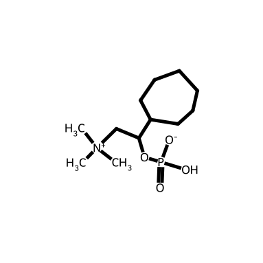 C[N+](C)(C)CC(OP(=O)([O-])O)C1CCCCCC1